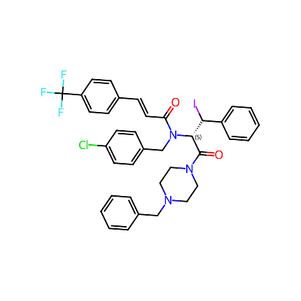 O=C([C@@H](C(I)c1ccccc1)N(Cc1ccc(Cl)cc1)C(=O)C=Cc1ccc(C(F)(F)F)cc1)N1CCN(Cc2ccccc2)CC1